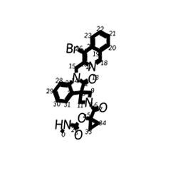 CNC(=O)OC1(C(=O)N2CC3(C2)C(=O)N(Cc2ncc4ccccc4c2Br)c2ccccc23)CC1